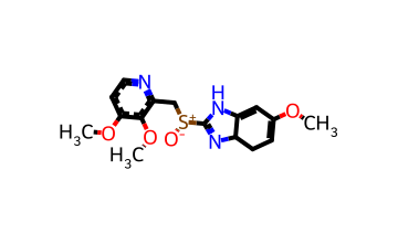 COC1=CCC2N=C([S+]([O-])Cc3nccc(OC)c3OC)NC2=C1